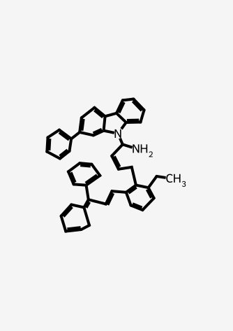 CCc1cccc(/C=C/C(=C2/C=CC=CC2)c2ccccc2)c1C/C=C\C(N)n1c2ccccc2c2ccc(-c3ccccc3)cc21